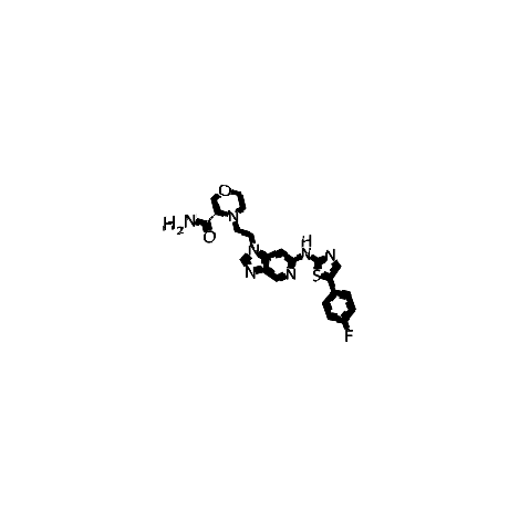 NC(=O)[C@@H]1COCCN1CCn1cnc2cnc(Nc3ncc(-c4ccc(F)cc4)s3)cc21